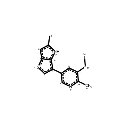 Cc1cc2scc(-c3cnc(C(F)(F)F)c(SI)c3)c2[nH]1